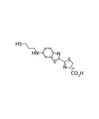 O=C(O)[C@H]1CSC(c2nc3ccc(NCCCS)cc3s2)=N1